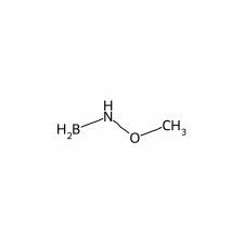 BNOC